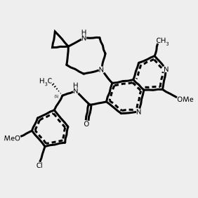 COc1cc([C@H](C)NC(=O)c2cnc3c(OC)nc(C)cc3c2N2CCNC3(CC2)CC3)ccc1Cl